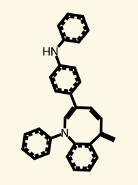 C=C1/C=C\C(c2ccc(Nc3ccccc3)cc2)=C/N(c2ccccc2)c2ccccc21